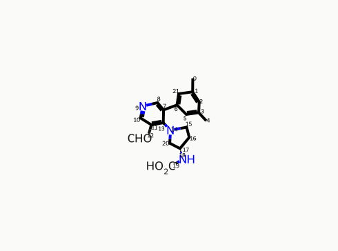 Cc1cc(C)cc(-c2cncc(C=O)c2N2CC[C@H](NC(=O)O)C2)c1